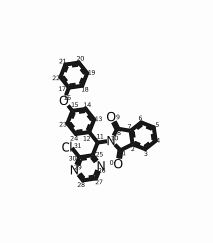 O=C1c2ccccc2C(=O)N1C(c1ccc(Oc2ccccc2)cc1)c1nccnc1Cl